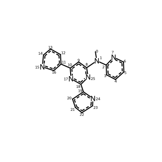 CN(c1ccccn1)c1cc(-c2cccnc2)nc(-c2ccccn2)n1